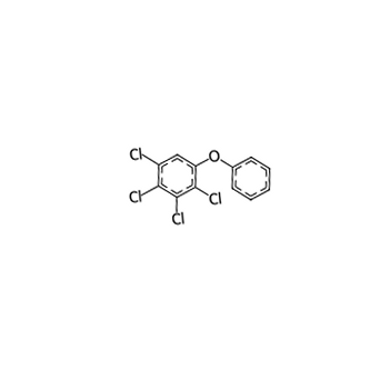 Clc1cc(Oc2ccccc2)c(Cl)c(Cl)c1Cl